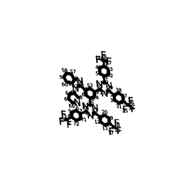 FC(F)(F)c1ccc(-c2nc(-c3ccc(C(F)(F)F)cc3)nc(-c3cc(-c4nc(-c5ccc(C(F)(F)F)cc5)nc(-c5ccc(C(F)(F)F)cc5)n4)cc(-c4nc5ccccc5n4-c4cccnc4)c3)n2)cc1